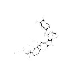 CCC(CC)(CN)N1CCc2[nH]c(C=C3C(=O)Nc4ncnc(Nc5ccc(F)c(Cl)c5)c43)c(C(F)(F)F)c2C1=O